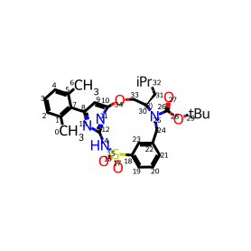 Cc1cccc(C)c1-c1cc2nc(n1)NS(=O)(=O)c1cccc(c1)CN(C(=O)OC(C)(C)C)[C@H](CC(C)C)CO2